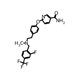 CN(CCc1ccc(Oc2ccc(C(N)=O)cn2)cc1)Cc1ccc(C(F)(F)F)cc1F